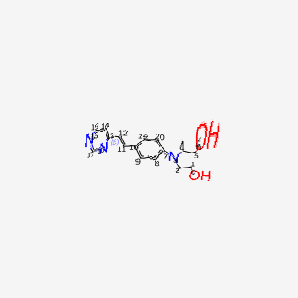 OCCN(CCO)c1ccc(/C=C/c2ccncn2)cc1